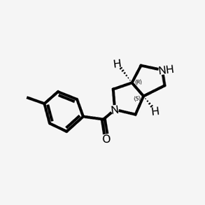 Cc1ccc(C(=O)N2C[C@H]3CNC[C@H]3C2)cc1